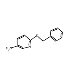 O=[N+]([O-])c1ccc(SCc2ccccc2)nc1